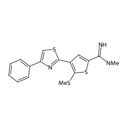 CNC(=N)c1cc(-c2nc(-c3ccccc3)cs2)c(SC)s1